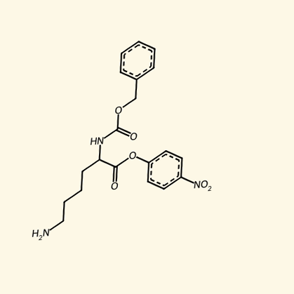 NCCCCC(NC(=O)OCc1ccccc1)C(=O)Oc1ccc([N+](=O)[O-])cc1